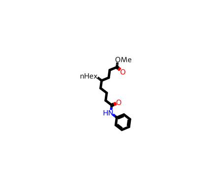 CCCCCCC(CCCC(=O)Nc1ccccc1)CCC(=O)OC